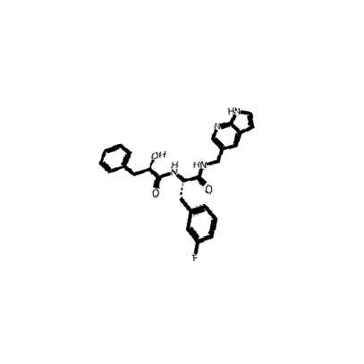 O=C(N[C@@H](Cc1cccc(F)c1)C(=O)NCc1cnc2[nH]ccc2c1)[C@H](O)Cc1ccccc1